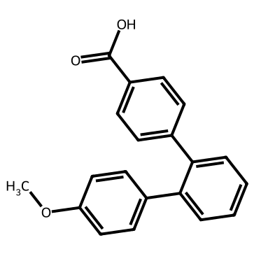 COc1ccc(-c2ccccc2-c2ccc(C(=O)O)cc2)cc1